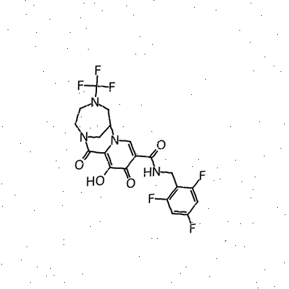 O=C(NCc1c(F)cc(F)cc1F)c1cn2c(c(O)c1=O)C(=O)N1CCN(C(F)(F)F)CC2C1